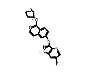 Fc1cnc2c(Nc3ccc4c(O[C@H]5CCOC5)nccc4c3)n[nH]c2c1